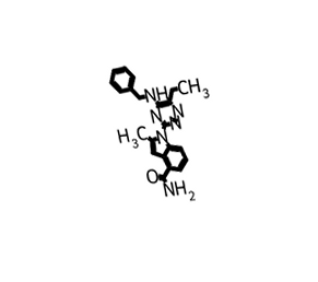 CCc1nnc(-n2c(C)cc3c(C(N)=O)cccc32)nc1NCc1ccccc1